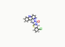 O=C1N/C(=C\c2c3ccccc3nc3ccccc23)C(=S)N1Cc1ccccc1Cl